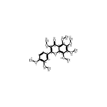 CCOc1ccc(-c2oc3c(OCC)c(OCC)c(OCC)c(OCC)c3c(=O)c2OCC)cc1OCC